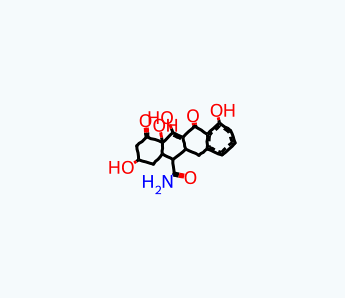 NC(=O)C1C2Cc3cccc(O)c3C(=O)C2=C(O)C2(O)C(=O)CC(O)CC12